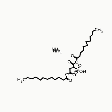 CCCCCCCCCCCC(=O)OC(=O)CC(C(=O)OC(=O)CCCCCCCCCCC)S(=O)(=O)O.N.N